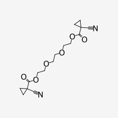 N#CC1(C(=O)OCCOCCOCCOC(=O)C2(C#N)CC2)CC1